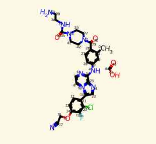 Cc1cc(Nc2nccn3c(-c4ccc(OCC#N)c(F)c4Cl)cnc23)ccc1C(=O)N1CCN(C(=O)NCCN)CC1.O=CO